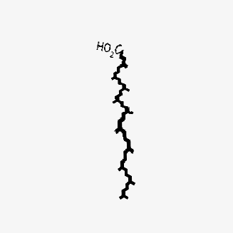 CC(C)=CCCC(C)=CCCC(C)=CCCC(C)=CCCC(C)=CCCC(C)=CCCC(C)=CCCC(C)=CCCC(C)=CCCC(C)=CCCC(=O)O